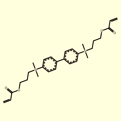 C=CC(=O)OCCC[Si](C)(C)c1ccc(-c2ccc([Si](C)(C)CCCOC(=O)C=C)cc2)cc1